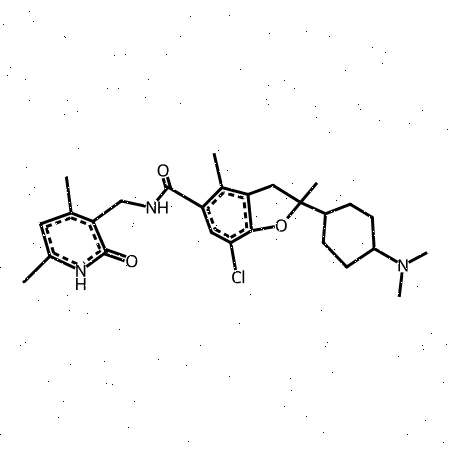 Cc1cc(C)c(CNC(=O)c2cc(Cl)c3c(c2C)CC(C)(C2CCC(N(C)C)CC2)O3)c(=O)[nH]1